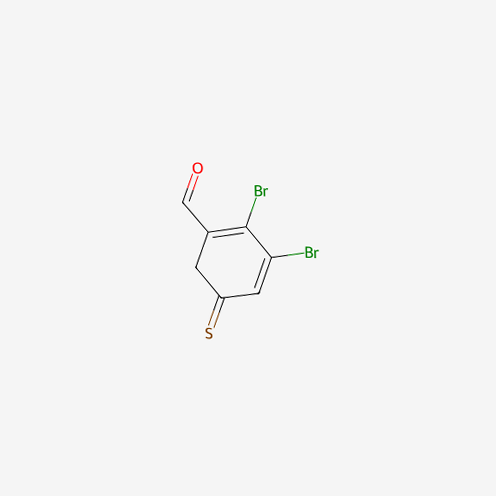 O=CC1=C(Br)C(Br)=CC(=S)C1